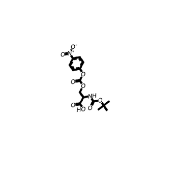 CC(C)(C)OC(=O)NC(COC(=O)Oc1ccc([N+](=O)[O-])cc1)C(=O)O